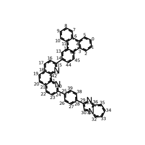 c1ccc2c(c1)c1ccccc1c1cc(-c3ccc4ccc5ccc(-c6ccc(-c7cn8ccccc8n7)cc6)nc5c4n3)ccc21